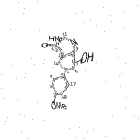 COc1ccc(-c2cc(O)c3nc[nH]c(=O)c3c2)cc1